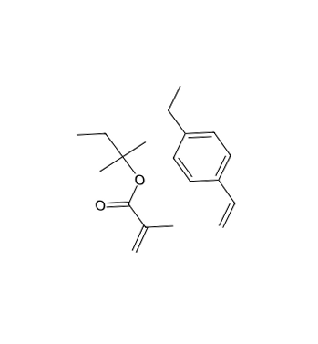 C=C(C)C(=O)OC(C)(C)CC.C=Cc1ccc(CC)cc1